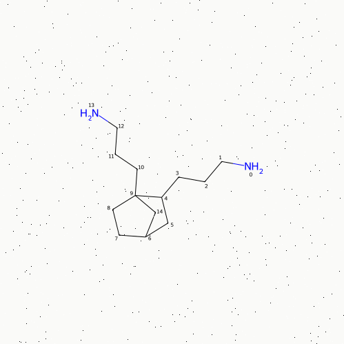 NCCCC1CC2CCC1(CCCN)C2